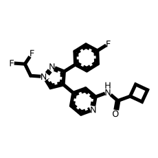 O=C(Nc1cc(-c2cn(CC(F)F)nc2-c2ccc(F)cc2)ccn1)C1CCC1